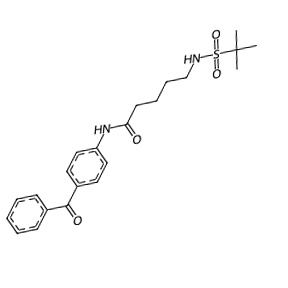 CC(C)(C)S(=O)(=O)NCCCCC(=O)Nc1ccc(C(=O)c2ccccc2)cc1